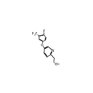 OCCc1ccc(Oc2ccc(F)c(C(F)(F)F)c2)cn1